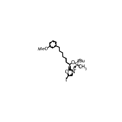 COc1cccc(CCCCCCC(O[Si](C)(C)C(C)(C)C)c2ncc(I)o2)c1